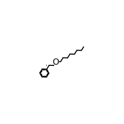 CCCCCCCCOC[CH]c1ccccc1